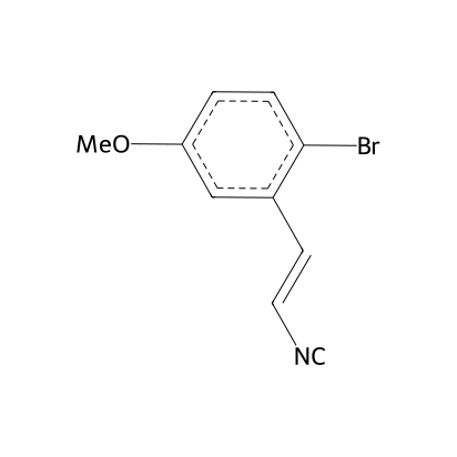 [C-]#[N+]/C=C/c1cc(OC)ccc1Br